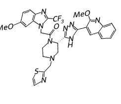 COc1ccc2nc(C(F)(F)F)n(CC(=O)N3CCN(Cc4nccs4)C[C@H]3c3nnc(-c4cc5ccccc5nc4OC)[nH]3)c2c1